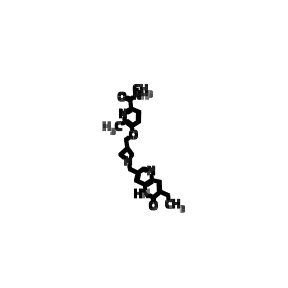 CCc1cc2ncc(CN3CC(COc4ccc(C(=O)NC)nc4C)C3)cc2[nH]c1=O